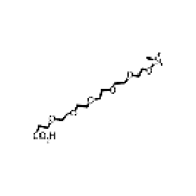 C[Si](C)(C)OCCOCCOCCOCCOCCOCCC(=O)O